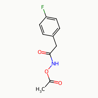 CC(=O)ONC(=O)Cc1ccc(F)cc1